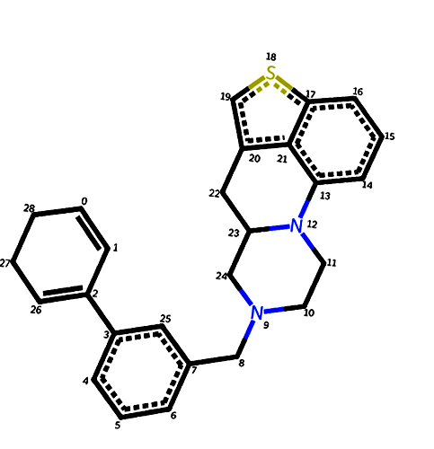 C1=CC(c2cccc(CN3CCN4c5cccc6scc(c56)CC4C3)c2)=CCC1